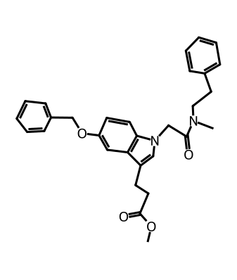 COC(=O)CCc1cn(CC(=O)N(C)CCc2ccccc2)c2ccc(OCc3ccccc3)cc12